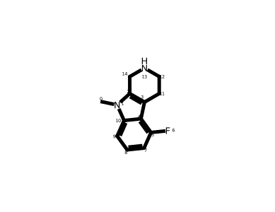 Cn1c2c(c3c(F)cccc31)CCNC2